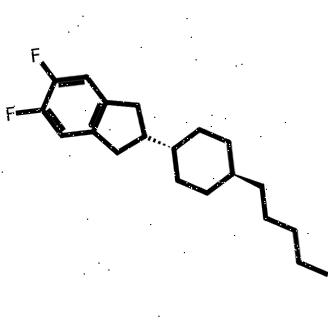 CCCCC[C@H]1CC[C@H](C2Cc3cc(F)c(F)cc3C2)CC1